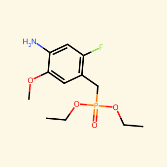 CCOP(=O)(Cc1cc(OC)c(N)cc1F)OCC